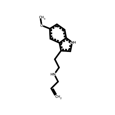 C=CCNCCc1c[nH]c2ccc(OC)cc12